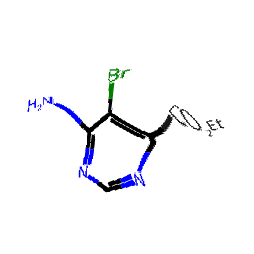 CCOC(=O)c1ncnc(N)c1Br